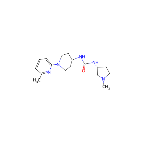 Cc1cccc(N2CCC(NC(=O)N[C@@H]3CCN(C)C3)CC2)n1